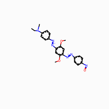 CCN(C)c1ccc(/N=N/c2cc(OC)c(/N=N/c3ccc(N=O)cc3)cc2OC)cc1